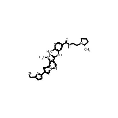 Cc1ncc(C(=O)NCCN2CCC[C@@H]2C)cc1Nc1nn(C)c2c1cnn1cc(-c3ccc(CO)s3)cc21